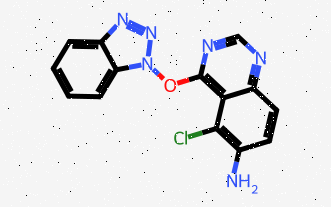 Nc1ccc2ncnc(On3nnc4ccccc43)c2c1Cl